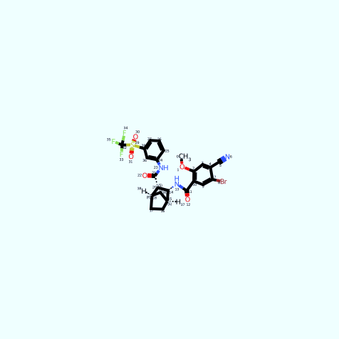 COc1cc(C#N)c(Br)cc1C(=O)N[C@@H]1[C@H]2CC[C@H](C2)[C@@H]1C(=O)Nc1cccc(S(=O)(=O)C(F)(F)F)c1